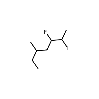 CCC(C)CC(F)C(C)I